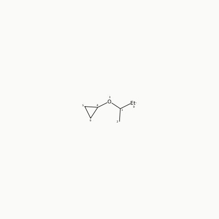 C[CH]C(C)OC1CC1